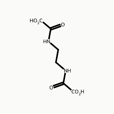 O=C(O)C(=O)NCCNC(=O)C(=O)O